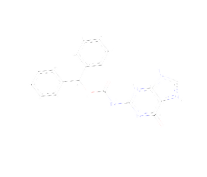 O=C(Nc1nc2[nH]cnc2c(=O)[nH]1)OC(c1ccccc1)c1ccccc1